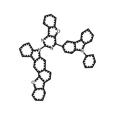 c1ccc(-n2c3ccccc3c3cc(-c4nc(-n5c6ccccc6c6cc7c(ccc8c9ccccc9oc78)cc65)nc5c4oc4ccccc45)ccc32)cc1